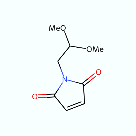 COC(CN1C(=O)C=CC1=O)OC